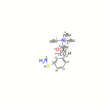 CC(=O)O.CC(=O)[O-].CCCC[N+](CCCC)(CCCC)CCCC.NSc1ccccc1